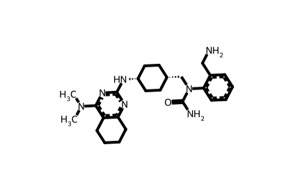 CN(C)c1nc(N[C@H]2CC[C@@H](CN(C(N)=O)c3ccccc3CN)CC2)nc2c1CCCC2